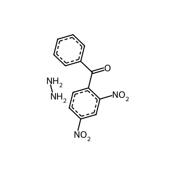 NN.O=C(c1ccccc1)c1ccc([N+](=O)[O-])cc1[N+](=O)[O-]